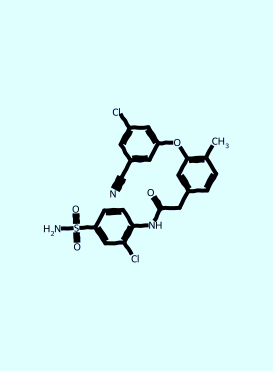 Cc1ccc(CC(=O)Nc2ccc(S(N)(=O)=O)cc2Cl)cc1Oc1cc(Cl)cc(C#N)c1